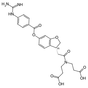 N=C(N)Nc1ccc(C(=O)Oc2ccc3c(c2)OC[C@@H]3CC(=O)N(CCC(=O)O)CCC(=O)O)cc1